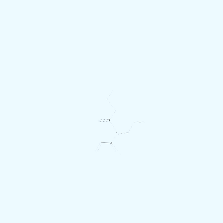 C=CC(=O)N(CCC)C(=O)CCC